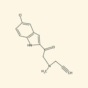 C#CCN(C)CC(=O)c1cc2cc(Cl)ccc2[nH]1